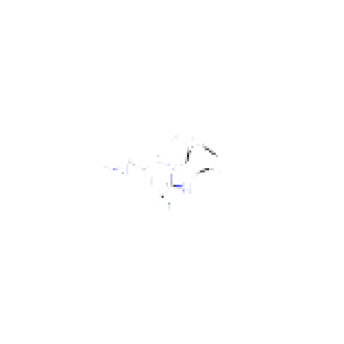 CNCCCn1c(C(F)(F)F)nc2cccc(Br)c21